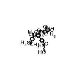 CCN(c1cc(-c2ccc(C(=O)NCCCO)cc2)cc(C(=O)NCc2c(C)cc(C)[nH]c2=O)c1C)C1CCC(N(C)C)CC1